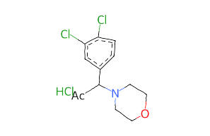 CC(=O)C(c1ccc(Cl)c(Cl)c1)N1CCOCC1.Cl